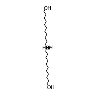 Br.OCCCCCCCCCCCNCCCCCCCCCCCO